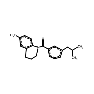 Cc1ccc2c(c1)CCCN2C(=O)c1cccc(CC(C)C)c1